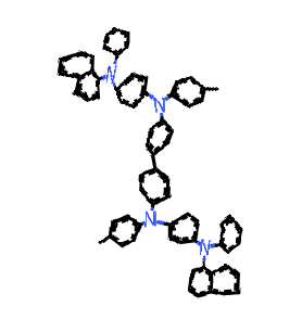 Cc1ccc(N(c2ccc(-c3ccc(N(c4ccc(C)cc4)c4ccc(N(c5ccccc5)c5cccc6ccccc56)cc4)cc3)cc2)c2ccc(N(c3ccccc3)c3cccc4ccccc34)cc2)cc1